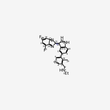 CCNCc1cncc(-c2ccc3c(c2)/C(=C2/N=c4cc(F)cc(F)c4=N2)NN3)c1C